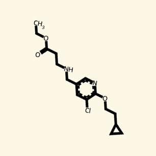 CCOC(=O)CCNCc1cnc(OCCC2CC2)c(Cl)c1